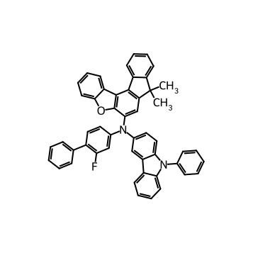 CC1(C)c2ccccc2-c2c1cc(N(c1ccc(-c3ccccc3)c(F)c1)c1ccc3c(c1)c1ccccc1n3-c1ccccc1)c1oc3ccccc3c21